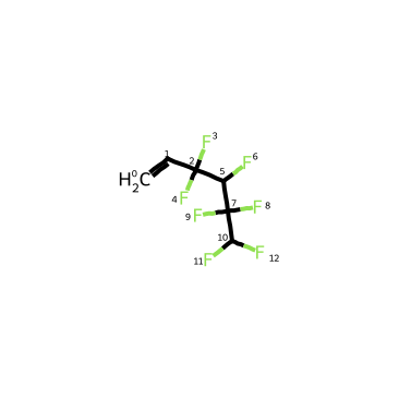 C=CC(F)(F)C(F)C(F)(F)C(F)F